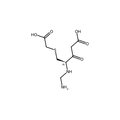 NCN[C@@H](CSCC(=O)O)C(=O)CC(=O)O